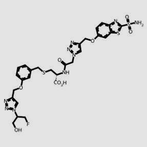 NS(=O)(=O)c1nc2ccc(OCc3cn(CC(=O)N[C@@H](CSCc4cccc(OCc5cn(C(CO)CF)nn5)c4)C(=O)O)nn3)cc2s1